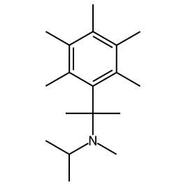 Cc1c(C)c(C)c(C(C)(C)N(C)C(C)C)c(C)c1C